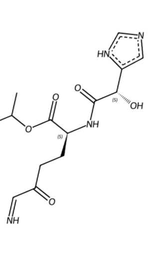 CC(C)OC(=O)[C@H](CCC(=O)C=N)NC(=O)[C@@H](O)c1cnc[nH]1